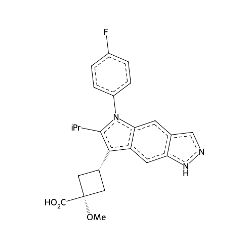 CO[C@]1(C(=O)O)C[C@H](c2c(C(C)C)n(-c3ccc(F)cc3)c3cc4cn[nH]c4cc32)C1